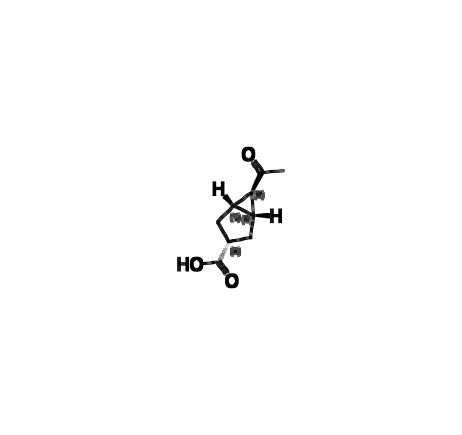 CC(=O)[C@H]1[C@@H]2C[C@H](C(=O)O)C[C@@H]21